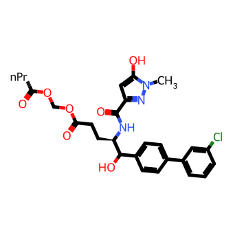 CCCC(=O)OCOC(=O)CC[C@@H](NC(=O)c1cc(O)n(C)n1)C(O)c1ccc(-c2cccc(Cl)c2)cc1